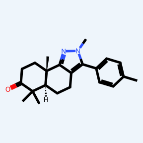 Cc1ccc(-c2c3c(nn2C)[C@@]2(C)CCC(=O)C(C)(C)[C@@H]2CC3)cc1